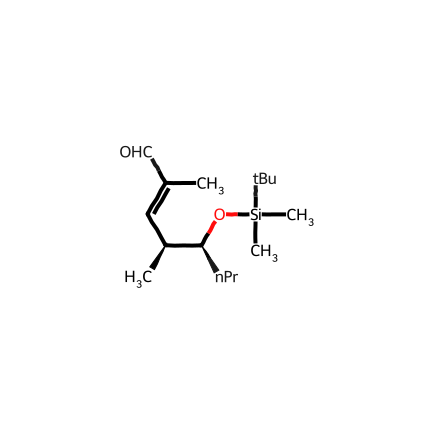 CCC[C@H](O[Si](C)(C)C(C)(C)C)[C@@H](C)/C=C(\C)C=O